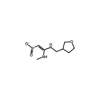 CN/C(=C\[N+](=O)[O-])NCC1CCOC1